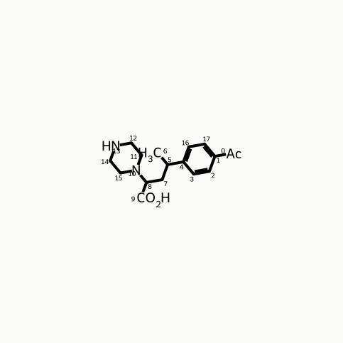 CC(=O)c1ccc(C(C)CC(C(=O)O)N2CCNCC2)cc1